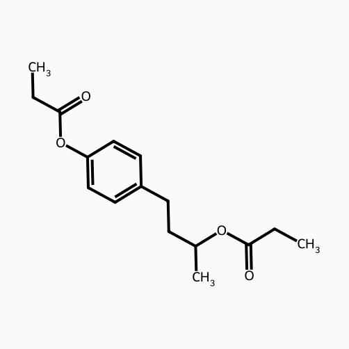 CCC(=O)Oc1ccc(CCC(C)OC(=O)CC)cc1